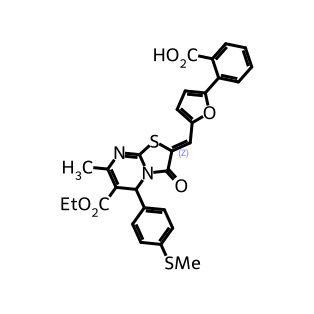 CCOC(=O)C1=C(C)N=c2s/c(=C\c3ccc(-c4ccccc4C(=O)O)o3)c(=O)n2C1c1ccc(SC)cc1